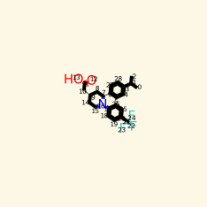 CC(C)c1ccc([C@H]2C[C@@H](CC(=O)O)CCN2c2ccc(C(F)(F)F)cc2)cc1